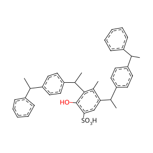 Cc1c(C(C)c2ccc(C(C)c3ccccc3)cc2)cc(S(=O)(=O)O)c(O)c1C(C)c1ccc(C(C)c2ccccc2)cc1